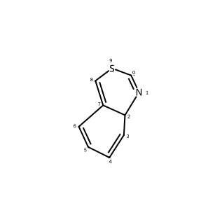 [C]1=NC2C=CC=CC2=CS1